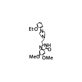 CCOc1ccccc1N1CCN(CCc2nc3cc(OC)c(OC)cc3c(=O)[nH]2)CC1